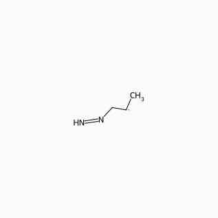 C[CH]CN=N